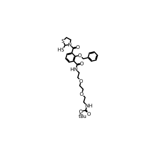 CC(C)(C)OC(=O)NCCOCCOCCNC(=O)c1cccc(C(=O)N2CCSC2S)c1OCc1ccccc1